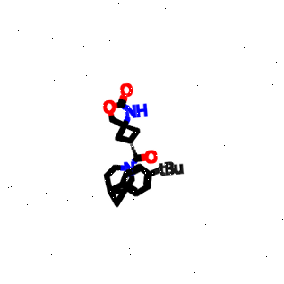 CC(C)(C)c1ccc(C23CCN(C(=O)[C@H]4C[C@]5(COC(=O)N5)C4)CC2C3)cc1